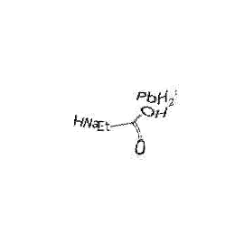 CCC(=O)O.[NaH].[PbH2]